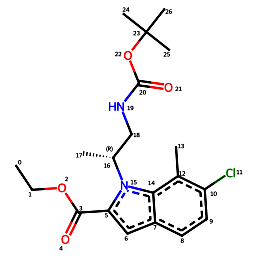 CCOC(=O)c1cc2ccc(Cl)c(C)c2n1[C@H](C)CNC(=O)OC(C)(C)C